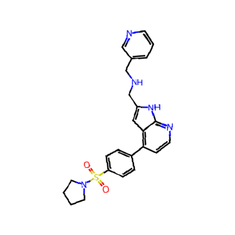 O=S(=O)(c1ccc(-c2ccnc3[nH]c(CNCc4cccnc4)cc23)cc1)N1CCCC1